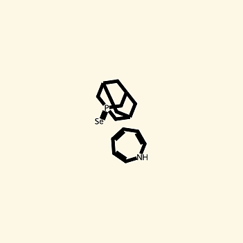 C1=CC=CNC=C1.[Se]=P12CC3CC(CC(C3)C1)C2